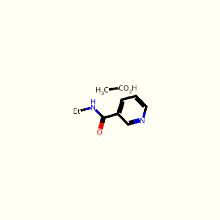 CC(=O)O.CCNC(=O)c1cccnc1